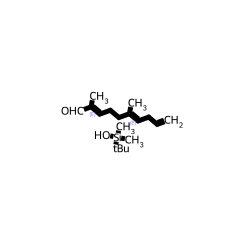 C=CC/C=C(\C)CC/C=C(\C)C=O.CC(C)(C)[Si](C)(C)O